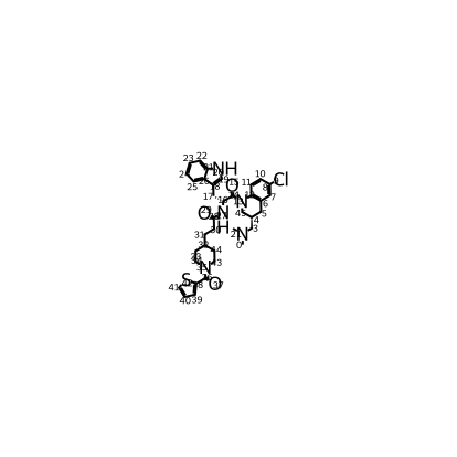 CN(C)C[C@@H]1Cc2cc(Cl)ccc2N(C(=O)[C@@H](Cc2c[nH]c3ccccc23)NC(=O)CCC2CCN(C(=O)c3cccs3)CC2)C1